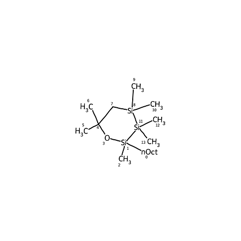 CCCCCCCC[Si]1(C)OC(C)(C)C[Si](C)(C)[Si]1(C)C